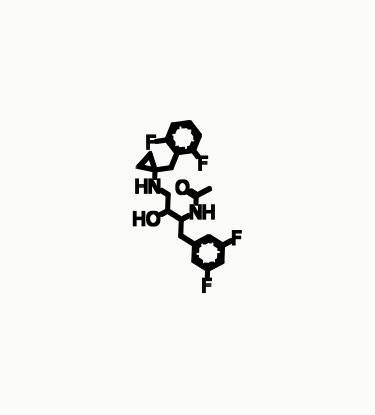 CC(=O)NC(Cc1cc(F)cc(F)c1)C(O)CNC1(Cc2c(F)cccc2F)CC1